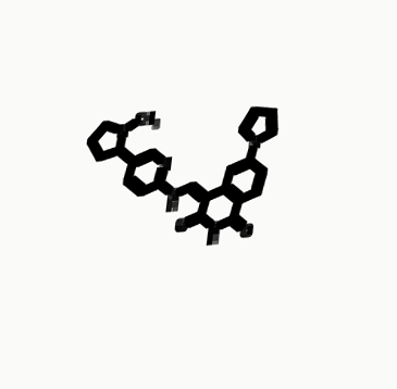 CN1CCCC1c1ccc(N/C=C2\C(=O)NC(=O)c3ccc(-n4cccc4)cc32)nc1